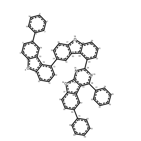 c1ccc(-c2ccc3oc4cccc(-c5ccc6oc7cccc(-c8nc(-c9ccccc9)c9c(n8)oc8ccc(-c%10ccccc%10)cc89)c7c6c5)c4c3c2)cc1